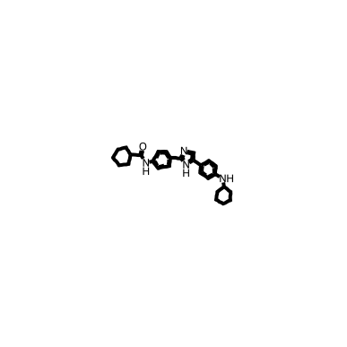 O=C(Nc1ccc(-c2ncc(-c3ccc(NC4CCCCC4)cc3)[nH]2)cc1)C1CCCCC1